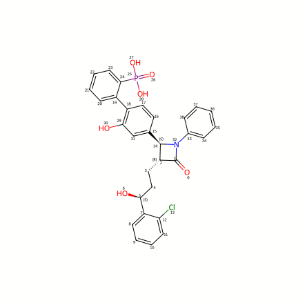 O=C1[C@H](CC[C@H](O)c2ccccc2Cl)[C@@H](c2ccc(-c3ccccc3P(=O)(O)O)c(O)c2)N1c1ccccc1